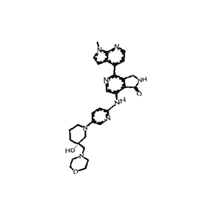 Cn1ccc2c(-c3ncc(Nc4ccc(N5CCC[C@](O)(CN6CCOCC6)C5)cn4)c4c3CNC4=O)ccnc21